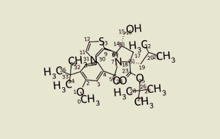 COc1cc(C(=O)N2[C@@H](c3nccs3)[C@H](CO)C[C@@]2(CC(C)C)C(=O)OC(C)(C)C)ccc1C(C)(C)C